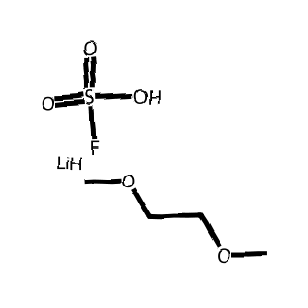 COCCOC.O=S(=O)(O)F.[LiH]